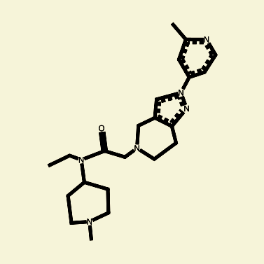 CCN(C(=O)CN1CCc2nn(-c3ccnc(C)c3)cc2C1)C1CCN(C)CC1